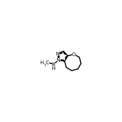 CBn1ncc2c1CCCCCO2